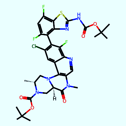 C[C@@H]1CN2c3c(cnc4c(F)c(-c5c(F)cc(F)c6sc(NC(=O)OC(C)(C)C)nc56)c(Cl)cc34)N(C)C(=O)[C@H]2CN1C(=O)OC(C)(C)C